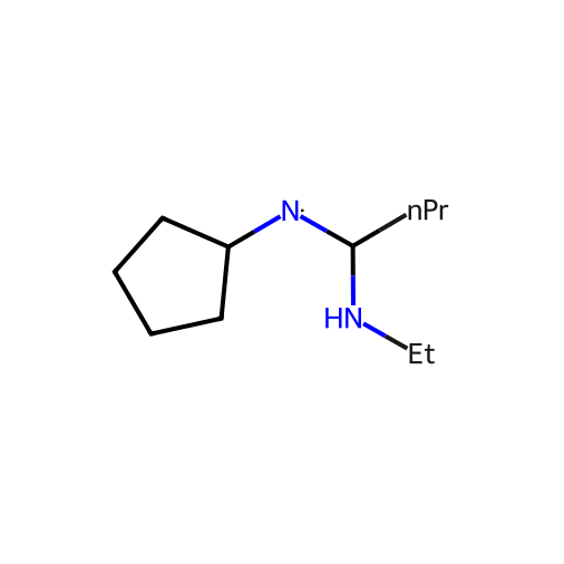 CCCC([N]C1CCCC1)NCC